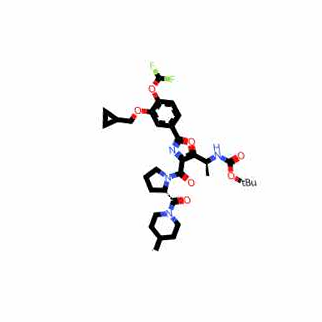 [CH2]C1CCN(C(=O)[C@@H]2CCCN2C(=O)c2nc(-c3ccc(OC(F)F)c(OCC4CC4)c3)oc2[C@H](C)NC(=O)OC(C)(C)C)CC1